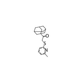 Cc1cccc(SCC(=O)C23CC4CC(CC(C4)C2)C3)n1